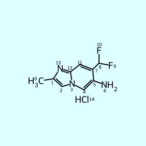 Cc1cn2cc(N)c(C(F)F)cc2n1.Cl